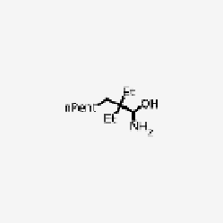 CCCCCCC(CC)(CC)C(N)O